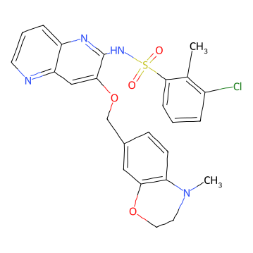 Cc1c(Cl)cccc1S(=O)(=O)Nc1nc2cccnc2cc1OCc1ccc2c(c1)OCCN2C